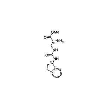 COC(=O)[C@@H](N)CNC(=O)N[C@@H]1CCc2ccccc21